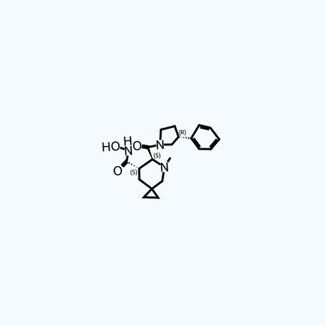 CN1CC2(CC2)C[C@H](C(=O)NO)[C@H]1C(=O)N1CC[C@H](c2ccccc2)C1